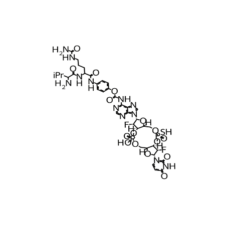 CC(C)C(N)C(=O)NC(CCCNC(N)=O)C(=O)Nc1ccc(OC(=O)Nc2ncnc3c2ncn3[C@@H]2O[C@@H]3COP(=O)(S)O[C@H]4[C@@H](F)[C@H](n5ccc(=O)[nH]c5=O)O[C@@H]4COP(=O)(O)O[C@H]3[C@H]2F)cc1